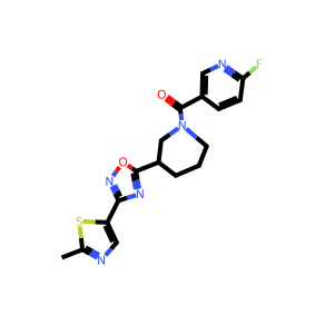 Cc1ncc(-c2noc(C3CCCN(C(=O)c4ccc(F)nc4)C3)n2)s1